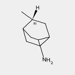 C[C@@H]1CC2CCC1CC2N